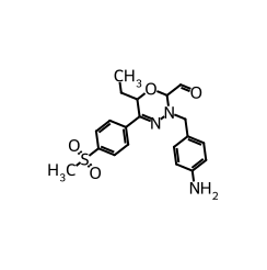 CCC1OC(C=O)N(Cc2ccc(N)cc2)N=C1c1ccc(S(C)(=O)=O)cc1